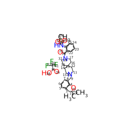 CC1(C)Cc2cccc(CN3CCC4(CC3)CCN(C(=O)c3ccccc3NS(C)(=O)=O)CC4)c2O1.O=C(O)C(F)(F)F